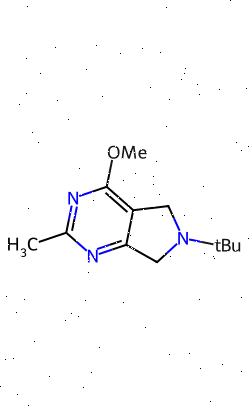 COc1nc(C)nc2c1CN(C(C)(C)C)C2